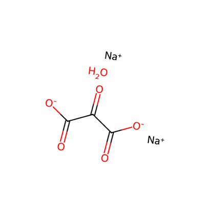 O.O=C([O-])C(=O)C(=O)[O-].[Na+].[Na+]